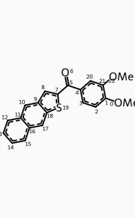 COc1ccc(C(=O)c2cc3cc4ccccc4cc3s2)cc1OC